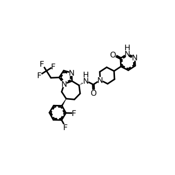 O=C(N[C@@H]1CC[C@@H](c2cccc(F)c2F)Cn2c(CC(F)(F)F)cnc21)N1CCC(c2ccn[nH]c2=O)CC1